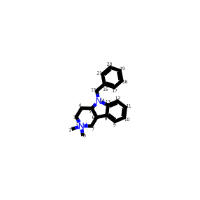 C[N+]1(C)CCC2C(C1)c1ccccc1N2Cc1ccccc1